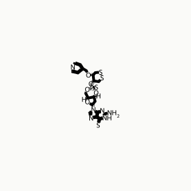 Nc1nc2c(ncn2[C@H]2C[C@@H]3O[P@](=S)(O[C@H]4CSSC[C@@H]4OCc4ccncc4)OC[C@H]3O2)c(=S)[nH]1